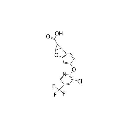 O=C(O)C1C2Oc3cc(Oc4ncc(C(F)(F)F)cc4Cl)ccc3C21